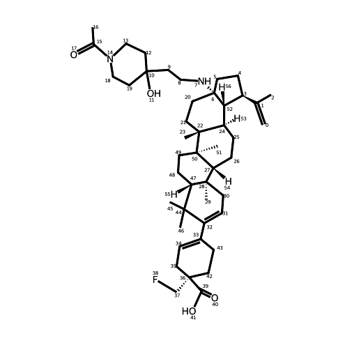 C=C(C)[C@@H]1CC[C@]2(NCCC3(O)CCN(C(C)=O)CC3)CC[C@]3(C)[C@H](CC[C@@H]4[C@@]5(C)CC=C(C6=CC[C@](CF)(C(=O)O)CC6)C(C)(C)[C@@H]5CC[C@]43C)[C@@H]12